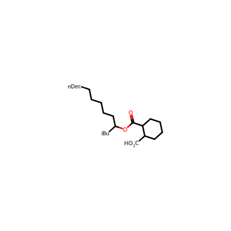 CCCCCCCCCCCCCCCC(OC(=O)C1CCCCC1C(=O)O)C(C)CC